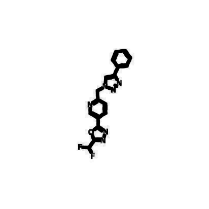 FC(F)c1nnc(-c2ccc(Cn3cc(-c4ccccc4)nn3)nc2)o1